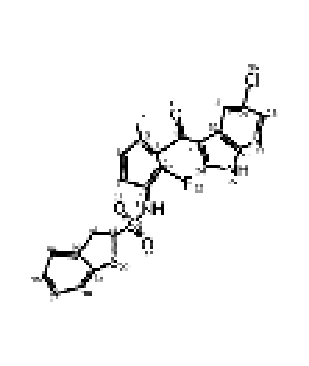 O=C(c1c(F)ccc(NS(=O)(=O)C2Cc3ccccc3S2)c1F)c1c[nH]c2ncc(Cl)cc12